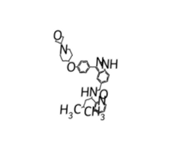 CC(C)CC(NC(=O)c1ccc2[nH]nc(-c3ccc(OC4CCN(C5COC5)CC4)cc3)c2c1)c1ccccn1